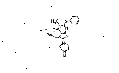 CC#CCn1c(N2CCNCC2)nc2nc(Sc3ccccc3)n(C)c(=O)c21